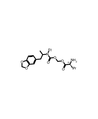 CCN(C(=O)OCOC(=O)[C@@H](N)C(C)C)C(C)Cc1ccc2c(c1)OCO2